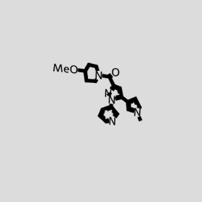 COC1CCN(C(=O)c2cc(-c3ccn(C)c3)n(-c3cccnc3)n2)CC1